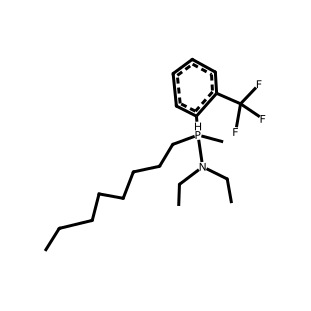 CCCCCCCC[PH](C)(c1ccccc1C(F)(F)F)N(CC)CC